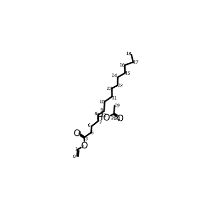 C=COC(=O)CCCCCCCCCCCCCC.CC(=O)O